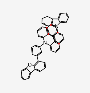 C1=Cc2c(c3ccccc3n2-c2ccccc2-c2ccccc2N(c2cccc(-c3cccc4c3oc3ccccc34)c2)c2ccccc2-c2ccccc2)CC1